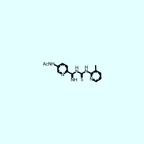 CC(=O)Nc1ccc(C(=N)NC(=S)Nc2ncccc2C)nc1